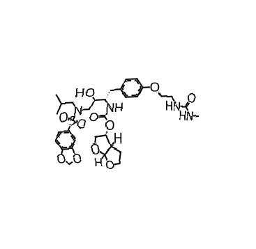 CNC(=O)NCCOc1ccc(C[C@H](NC(=O)O[C@H]2CO[C@H]3OCC[C@H]32)[C@H](O)CN(CC(C)C)S(=O)(=O)c2ccc3c(c2)OCO3)cc1